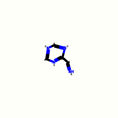 N=Cc1ncncn1